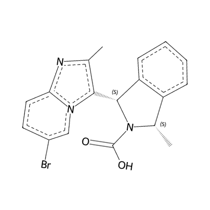 Cc1nc2ccc(Br)cn2c1[C@@H]1c2ccccc2[C@H](C)N1C(=O)O